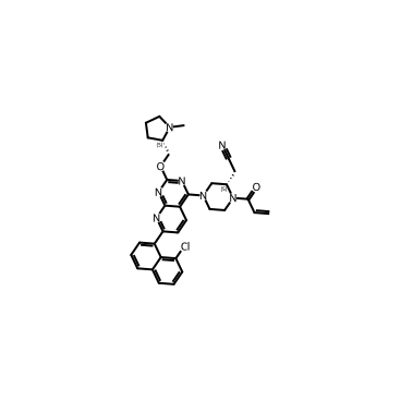 C=CC(=O)N1CCN(c2nc(OC[C@@H]3CCCN3C)nc3nc(-c4cccc5cccc(Cl)c45)ccc23)C[C@@H]1CC#N